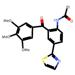 CCC(=O)Nc1ccc(-c2nccs2)cc1C(=O)c1cc(OC)c(OC)c(OC)c1